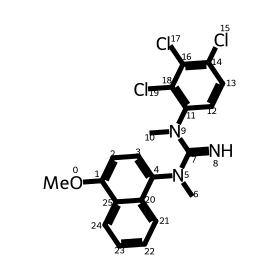 COc1ccc(N(C)C(=N)N(C)c2ccc(Cl)c(Cl)c2Cl)c2ccccc12